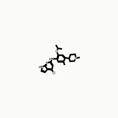 Cc1cc(Nc2cc(Cl)c3cc[nH]c3n2)c(OC(C)C)cc1C1CCN(C)CC1